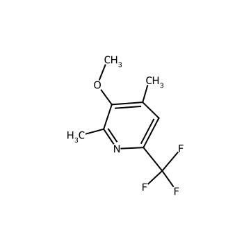 COc1c(C)cc(C(F)(F)F)nc1C